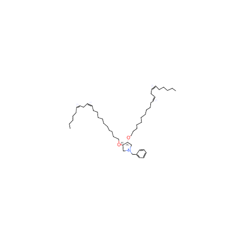 CCCCC/C=C\C/C=C\CCCCCCCCCCO[C@@H]1CN(Cc2ccccc2)C[C@H]1OCCCCCCCCCC/C=C\C/C=C\CCCCC